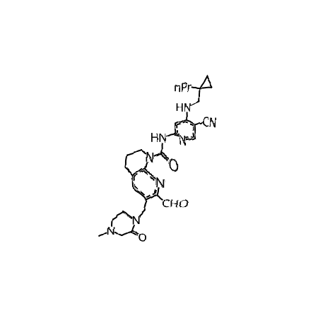 CCCC1(CNc2cc(NC(=O)N3CCCc4cc(CN5CCN(C)CC5=O)c(C=O)nc43)ncc2C#N)CC1